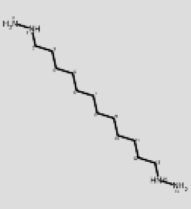 NNCCCCCCCCCCCCNN